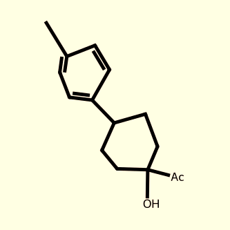 CC(=O)C1(O)CCC(c2ccc(C)cc2)CC1